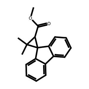 COC(=O)C1C(C)(C)C12c1ccccc1-c1ccccc12